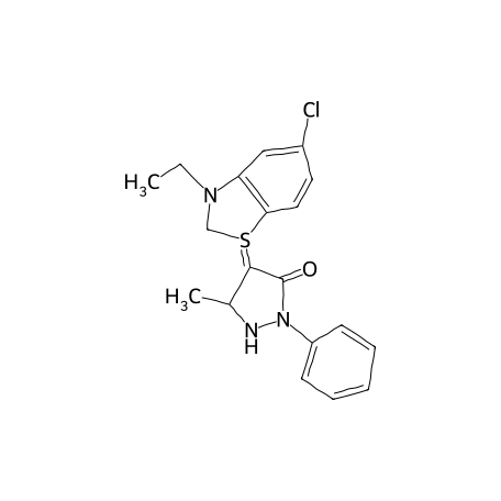 CCN1CS(=C2C(=O)N(c3ccccc3)NC2C)c2ccc(Cl)cc21